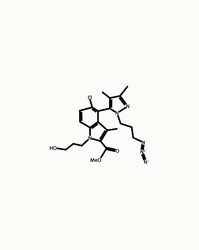 COC(=O)c1c(C)c2c(-c3c(C)c(C)nn3CCCN=[N+]=[N-])c(Cl)ccc2n1CCCO